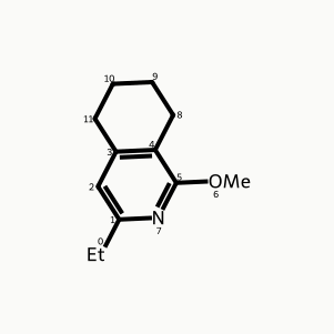 CCc1cc2c(c(OC)n1)CCCC2